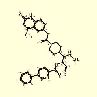 CN[C@H](C1CCN(C(=O)Cc2ccc3[nH]c(=O)cc(C)c3c2)CC1)[C@@H](C=O)NC(=O)c1ccc(-c2ccccc2)cn1